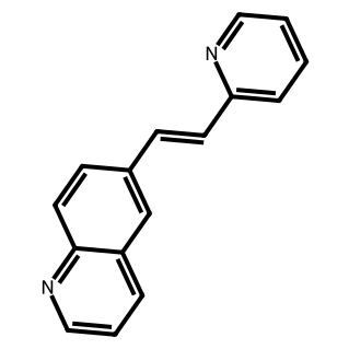 C(=Cc1ccccn1)c1ccc2ncccc2c1